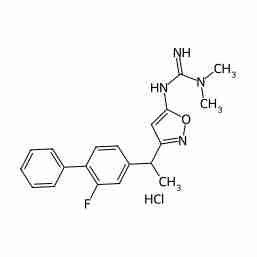 CC(c1ccc(-c2ccccc2)c(F)c1)c1cc(NC(=N)N(C)C)on1.Cl